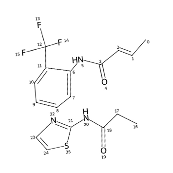 CC=CC(=O)Nc1ccccc1C(F)(F)F.CCC(=O)Nc1nccs1